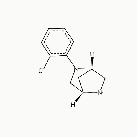 Clc1ccccc1N1C[C@@H]2C[C@H]1C[N]2